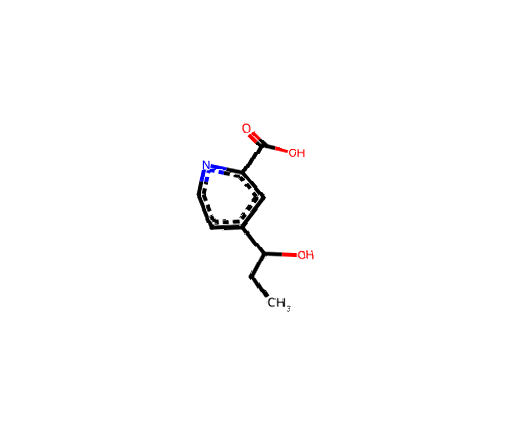 CCC(O)c1ccnc(C(=O)O)c1